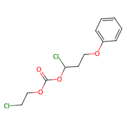 O=C(OCCCl)OC(Cl)CCOc1ccccc1